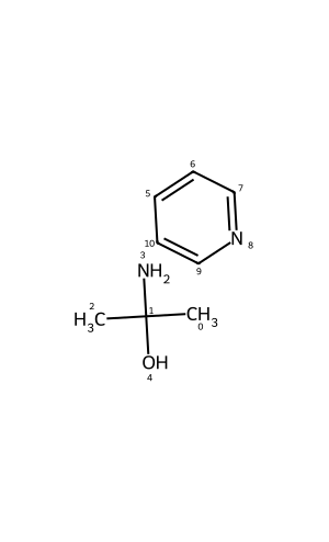 CC(C)(N)O.c1ccncc1